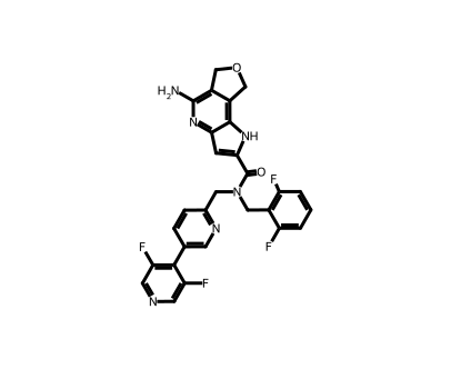 Nc1nc2cc(C(=O)N(Cc3ccc(-c4c(F)cncc4F)cn3)Cc3c(F)cccc3F)[nH]c2c2c1COC2